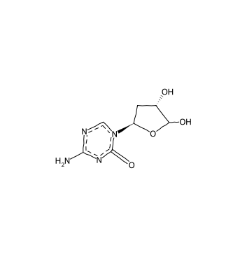 Nc1ncn([C@H]2C[C@H](O)C(O)O2)c(=O)n1